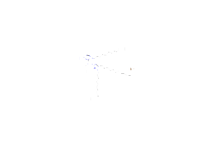 CCCCCCCCCCCCc1c[nH]c(C)[n+]1CCCCCCCCCC.CCCCCCCCCC[n+]1cc[nH]c1C.[Br-].[Br-]